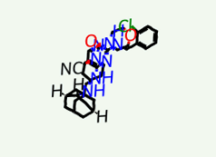 N#Cc1cnc(NCc2ccccc2Cl)nc1NC[C@]12CC3C[C@H](C1)[C@@H](NC1CCN(C(=O)N4CCOCC4)CC1)[C@@H](C3)C2